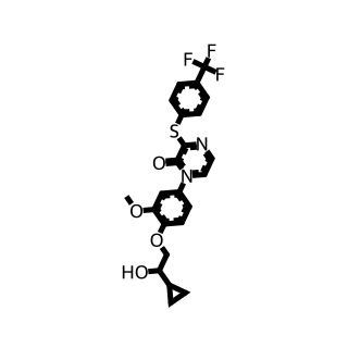 COc1cc(-n2ccnc(Sc3ccc(C(F)(F)F)cc3)c2=O)ccc1OCC(O)C1CC1